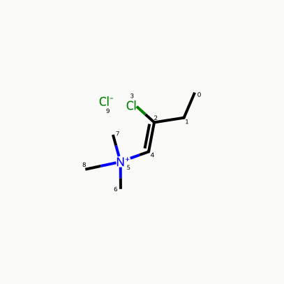 CCC(Cl)=C[N+](C)(C)C.[Cl-]